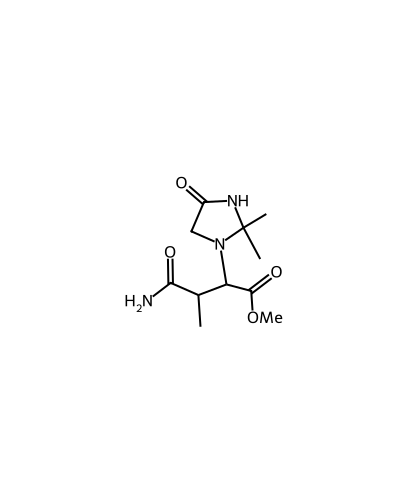 COC(=O)C(C(C)C(N)=O)N1CC(=O)NC1(C)C